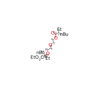 CCCCC(CC)C(=O)OCCOCCOC(CC)(CCCC)C(=O)OCC